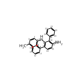 Cc1ccc(Nc2c(-c3ccccc3)ccc(N)c2-c2ccccc2)cc1